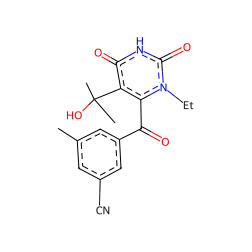 CCn1c(C(=O)c2cc(C)cc(C#N)c2)c(C(C)(C)O)c(=O)[nH]c1=O